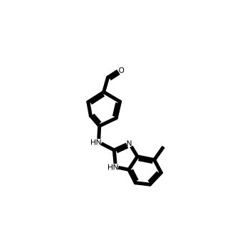 Cc1cccc2[nH]c(Nc3ccc(C=O)cc3)nc12